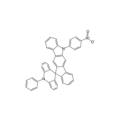 O=[N+]([O-])c1ccc(-n2c3ccccc3c3cc4c(cc32)-c2ccccc2C42c3ccccc3N(c3ccccc3)c3ccccc32)cc1